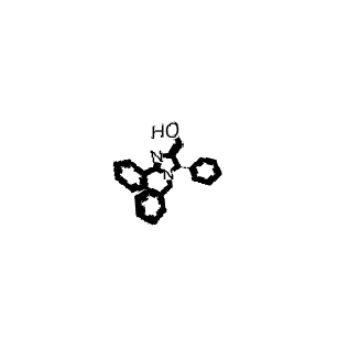 O/C=C1\N=C(c2ccccc2)N(Cc2ccccc2)[C@H]1c1ccccc1